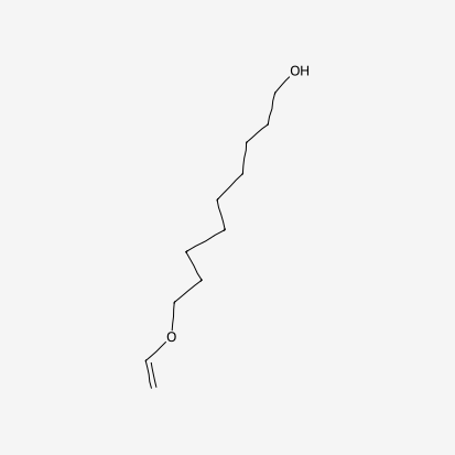 C=COCCCCCCCCCO